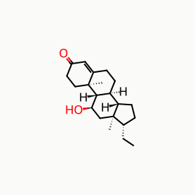 CC[C@H]1CC[C@H]2[C@@H]3CCC4=CC(=O)CC[C@]4(C)[C@H]3[C@H](O)C[C@]12C